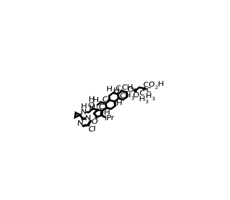 CC(C)C1=C2[C@H]3CC[C@@H]4[C@@]5(C)CC[C@H](OC(=O)CC(C)(C)C(=O)O)C(C)(C)[C@@H]5CC[C@@]4(C)[C@]3(C)CC[C@@]2([C@H](O)CNC2(c3ncc(Cl)cn3)CC2)CC1=O